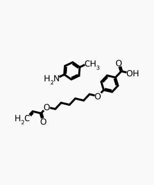 C=CC(=O)OCCCCCCOc1ccc(C(=O)O)cc1.Cc1ccc(N)cc1